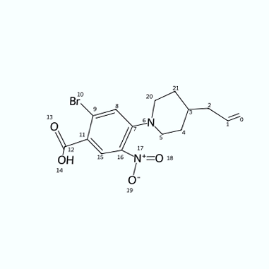 C=CCC1CCN(c2cc(Br)c(C(=O)O)cc2[N+](=O)[O-])CC1